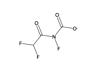 [O]C(=O)N(F)C(=O)C(F)F